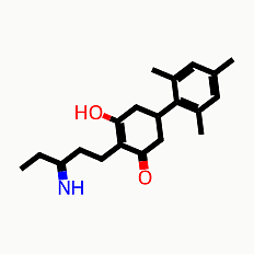 CCC(=N)CCC1=C(O)CC(c2c(C)cc(C)cc2C)CC1=O